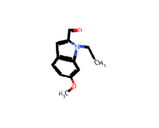 CCn1c(C=O)cc2ccc(OC)cc21